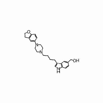 OCc1ccc2[nH]cc(CCCCN3CCN(c4ccc5c(c4)CCO5)CC3)c2c1